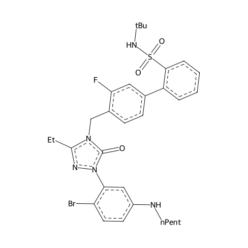 CCCCCNc1ccc(Br)c(-n2nc(CC)n(Cc3ccc(-c4ccccc4S(=O)(=O)NC(C)(C)C)cc3F)c2=O)c1